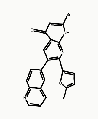 Cc1ccc(-c2nc3[nH]c(Br)cc(=O)c3cc2-c2ccc3ncccc3c2)o1